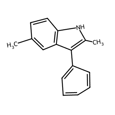 Cc1ccc2[nH]c(C)c(-c3ccccc3)c2c1